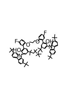 CC(C)(C)CC(C)(C)c1cc(-c2cc(F)ccc2OCCCOc2ccc(F)cc2-c2cc(C(C)(C)CC(C)(C)C)cc(-n3c4cc(C(C)(C)C)ccc4c4ccc(C(C)(C)C)cc43)c2O)c(O)c(-n2c3cc(C(C)(C)C)ccc3c3ccc(C(C)(C)C)cc32)c1